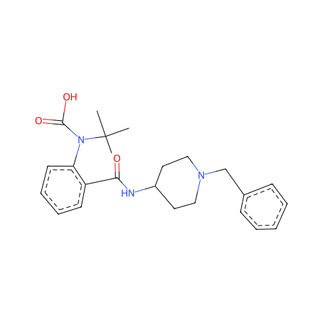 CC(C)(C)N(C(=O)O)c1ccccc1C(=O)NC1CCN(Cc2ccccc2)CC1